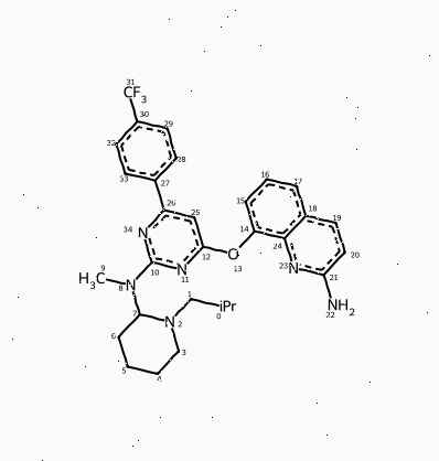 CC(C)CN1CCCCC1N(C)c1nc(Oc2cccc3ccc(N)nc23)cc(-c2ccc(C(F)(F)F)cc2)n1